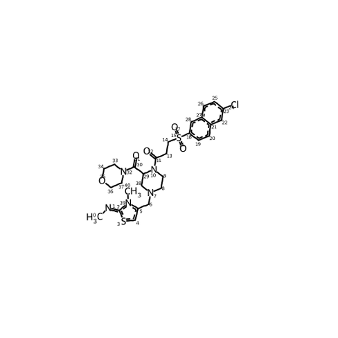 C/N=c1\scc(CN2CCN(C(=O)CCS(=O)(=O)c3ccc4cc(Cl)ccc4c3)C(C(=O)N3CCOCC3)C2)n1C